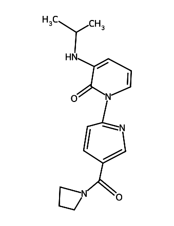 CC(C)Nc1cccn(-c2ccc(C(=O)N3CCC3)cn2)c1=O